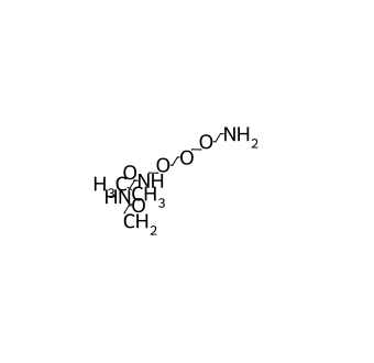 C=CC(=O)NC(C)(C)C(=O)NCCOCCOCCOCCN